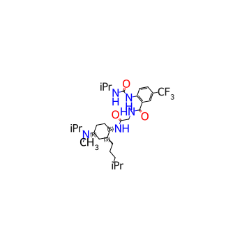 CC(C)CCC[C@H]1C[C@H](N(C)C(C)C)CC[C@@H]1NC(=O)CNC(=O)c1cc(C(F)(F)F)ccc1NC(=O)NC(C)C